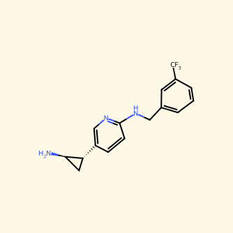 N[C@@H]1C[C@H]1c1ccc(NCc2cccc(C(F)(F)F)c2)nc1